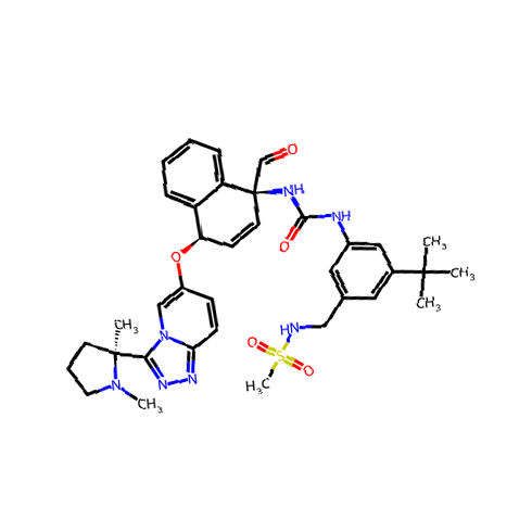 CN1CCC[C@@]1(C)c1nnc2ccc(O[C@@H]3C=C[C@](C=O)(NC(=O)Nc4cc(CNS(C)(=O)=O)cc(C(C)(C)C)c4)c4ccccc43)cn12